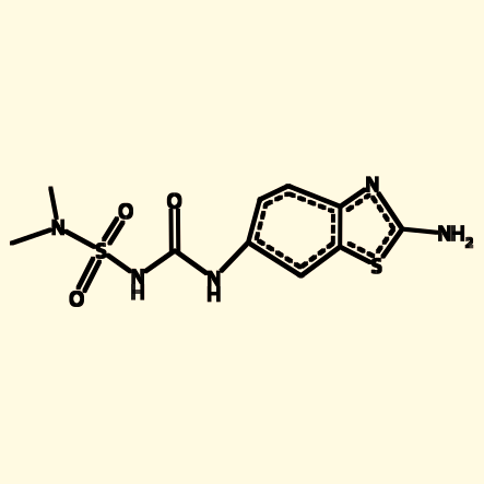 CN(C)S(=O)(=O)NC(=O)Nc1ccc2nc(N)sc2c1